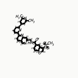 Cc1cc(-c2cccc(-c3ccc4cnc(CNC(=O)c5ccc6occ(S(C)(=O)=O)c6c5)cc4n3)n2)cc(C)n1